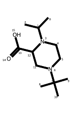 CC(C)N1CCN(C(C)(C)C)CC1C(=O)O